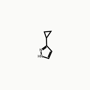 c1cc(C2CC2)n[nH]1